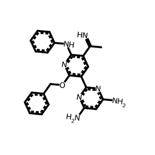 CC(=N)c1cc(-c2nc(N)cc(N)n2)c(OCc2ccccc2)nc1Nc1ccccc1